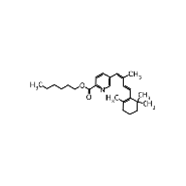 CCCCCCOC(=O)c1ccc(C=C(C)C=CC2=C(C)CCCC2(C)C)cn1